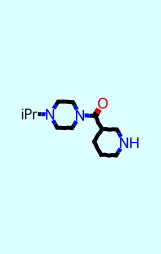 CC(C)N1CCN(C(=O)C2CCCNC2)CC1